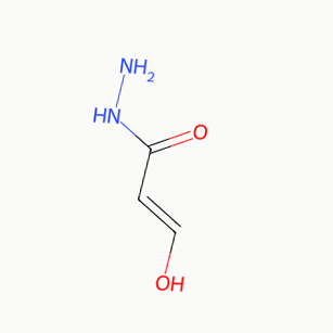 NNC(=O)C=CO